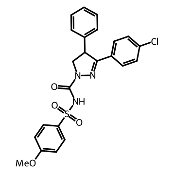 COc1ccc(S(=O)(=O)NC(=O)N2CC(c3ccccc3)C(c3ccc(Cl)cc3)=N2)cc1